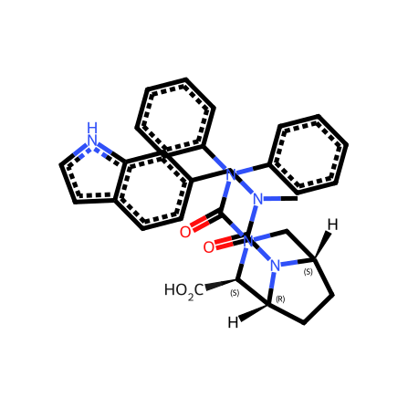 CN(Cc1ccc2cc[nH]c2c1)C(=O)N1[C@H]2CC[C@@H]1[C@@H](C(=O)O)N(C(=O)N(c1ccccc1)c1ccccc1)C2